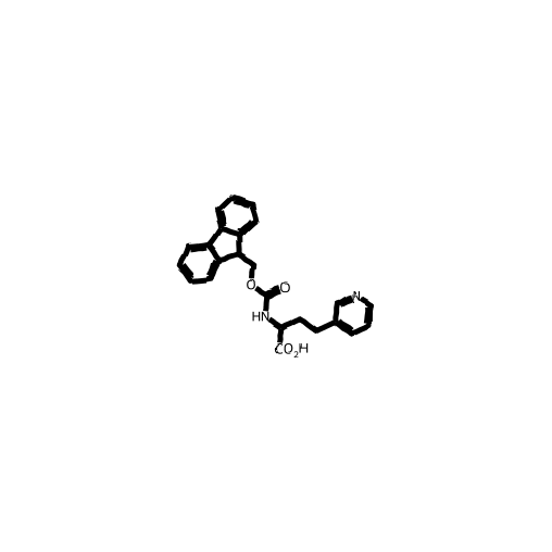 O=C(NC(CCc1cccnc1)C(=O)O)OCC1c2ccccc2-c2ccccc21